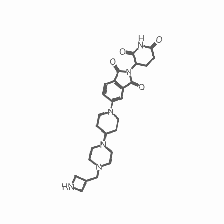 O=C1CCC(N2C(=O)c3ccc(N4CCC(N5CCN(CC6CNC6)CC5)CC4)cc3C2=O)C(=O)N1